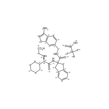 Nc1noc2cc(CNC(=O)C3(NC(=O)[C@H](NCC(=O)O)C4CCCCC4)Cc4ccccc4C3)ccc12.O=C(O)C(F)(F)F